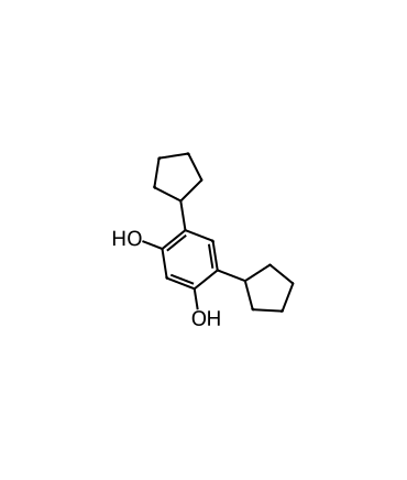 Oc1cc(O)c(C2CCCC2)cc1C1CCCC1